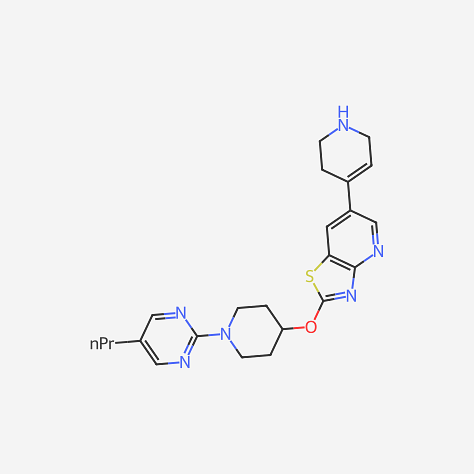 CCCc1cnc(N2CCC(Oc3nc4ncc(C5=CCNCC5)cc4s3)CC2)nc1